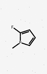 Cp1cccc1F